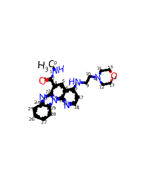 CNC(=O)c1cc2c(NCCN3CCOCC3)ccnc2n2c1nc1ccccc12